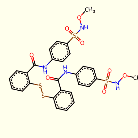 CONS(=O)(=O)c1ccc(NC(=O)c2ccccc2SSc2ccccc2C(=O)Nc2ccc(S(=O)(=O)NOC)cc2)cc1